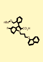 CCCCOCc1ccccc1-c1c(C(=O)O)n(CCCOc2cccc3ccccc23)c2ccc(F)cc12